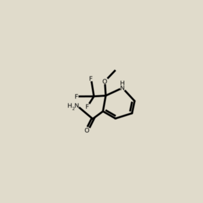 COC1(C(F)(F)F)NC=CC=C1C(N)=O